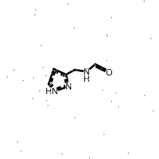 O=CNCc1cc[nH]n1